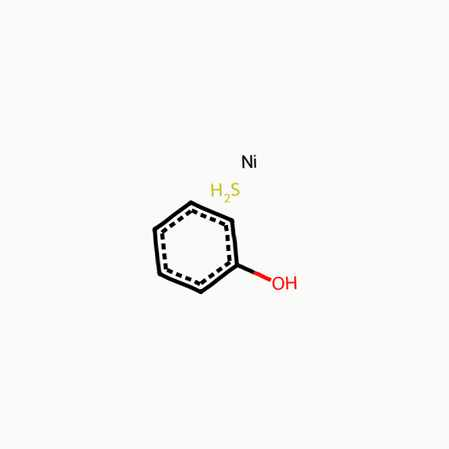 Oc1ccccc1.S.[Ni]